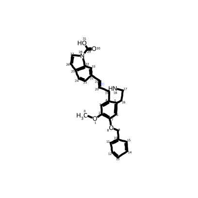 COc1cc2c(cc1OCc1ccccc1)CCNC2/C=C/c1ccc2ccn(C(=O)O)c2c1